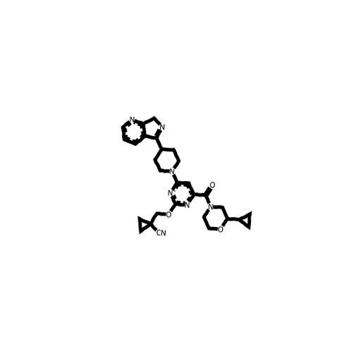 N#CC1(COc2nc(C(=O)N3CCOC(C4CC4)C3)cc(N3CCC(C4=NCc5ncccc54)CC3)n2)CC1